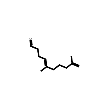 C=C(C)CCCC(C)=CCCC=O